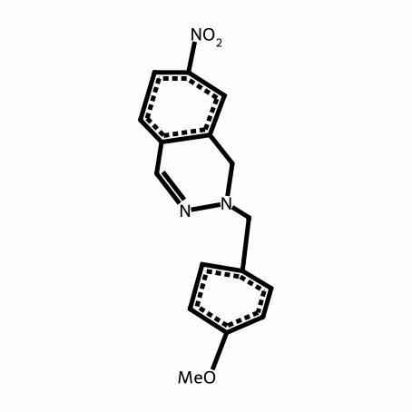 COc1ccc(CN2Cc3cc([N+](=O)[O-])ccc3C=N2)cc1